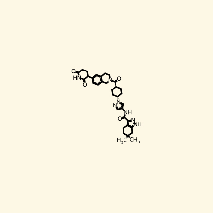 CC1(C)CCc2c(C(=O)Nc3cnn([C@H]4CC[C@H](C(=O)N5CCc6cc(C7CCC(=O)NC7=O)ccc6C5)CC4)c3)n[nH]c2C1